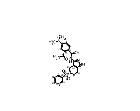 CN(C)c1ccc(C(=O)Nc2n[nH]c3c2CN(S(=O)(=O)c2cccnc2)CC3)c(C(N)=O)c1